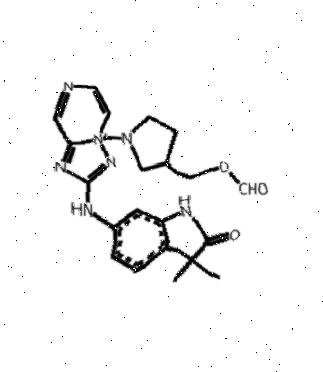 CC1(C)C(=O)Nc2cc(NC3=N[N+]4(N5CCC(COC=O)C5)C=CN=CC4=N3)ccc21